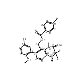 COc1ccc(F)cc1-c1ccc2c(c1COC(=O)c1ccc(C)cc1)NC(=O)C(C)(C)N2